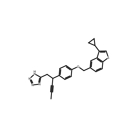 CC#CC(Cc1nnn[nH]1)c1ccc(OCc2ccc3scc(C4CC4)c3c2)cc1